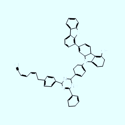 C#C/C=C\C=C/Cc1ccc(C2N=C(C3=CCCC=C3)NC(C3=CC=C(N4C5=CCCC(C)=C5C5C=CC(c6cccc7c6sc6ccccc67)=CC54)CC3)N2)cc1